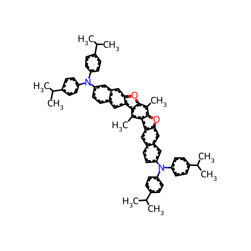 Cc1c2oc3cc4cc(N(c5ccc(C(C)C)cc5)c5ccc(C(C)C)cc5)ccc4cc3c2c(C)c2c1oc1cc3cc(N(c4ccc(C(C)C)cc4)c4ccc(C(C)C)cc4)ccc3cc12